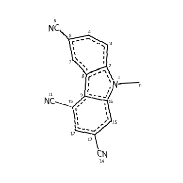 Cn1c2ccc(C#N)cc2c2c(C#N)cc(C#N)cc21